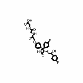 O=C(O)CNC(=O)CNC(=O)COc1ccc([C@]2(c3ccc(F)cc3)NC(=O)[C@@H]2SCC(O)c2ccc(F)cc2)cc1